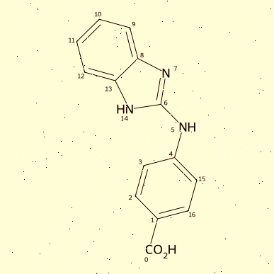 O=C(O)c1ccc(Nc2nc3ccccc3[nH]2)cc1